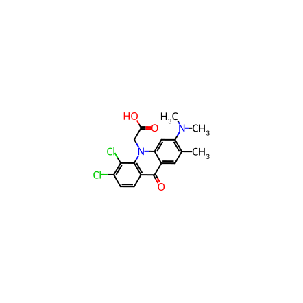 Cc1cc2c(=O)c3ccc(Cl)c(Cl)c3n(CC(=O)O)c2cc1N(C)C